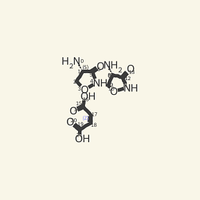 N[C@H]1CONC1=O.N[C@H]1CONC1=O.O=C(O)/C=C\C(=O)O